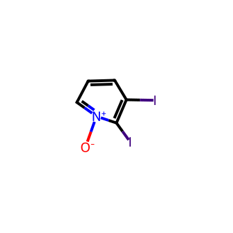 [O-][n+]1cccc(I)c1I